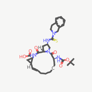 CC(C)(C)OC(=O)N[C@H]1CCCCC/C=C/[C@@H]2C[C@@]2(C(=O)O)NC(=O)[C@@H]2C[C@@H](NC(=S)N3CCc4ccccc4C3)CN2C1=O